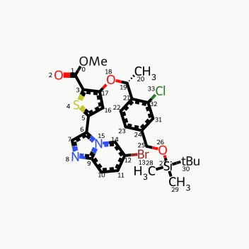 COC(=O)c1sc(-c2cnc3ccc(Br)cn23)cc1O[C@H](C)c1ccc(CO[Si](C)(C)C(C)(C)C)cc1Cl